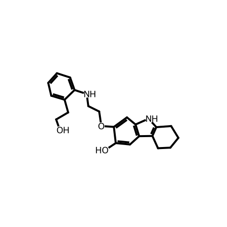 OCCc1ccccc1NCCOc1cc2[nH]c3c(c2cc1O)CCCC3